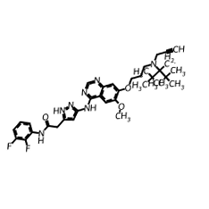 C#CCN(CCCOc1cc2ncnc(Nc3cc(CC(=O)Nc4cccc(F)c4F)[nH]n3)c2cc1OC)C([CH2])(C(C)(C)C)C(C)(C)C